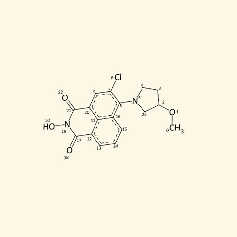 COC1CCN(c2c(Cl)cc3c4c(cccc24)C(=O)N(O)C3=O)C1